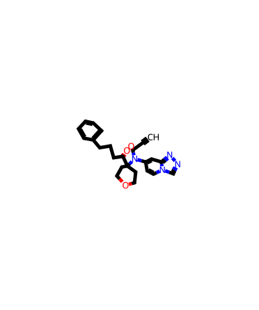 C#CC(=O)N(c1ccn2cnnc2c1)C1(C(=O)CCCc2ccccc2)CCOCC1